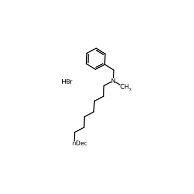 Br.CCCCCCCCCCCCCCCCCN(C)Cc1ccccc1